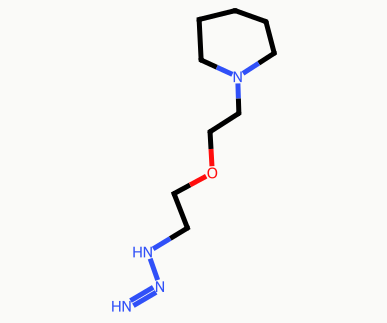 N=NNCCOCCN1CCCCC1